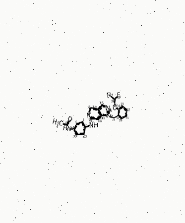 CC(=O)Nc1ccc(Nc2cc3c(cn2)cnn3Cc2ccccc2OC(F)F)cc1